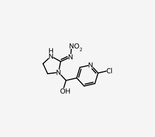 O=[N+]([O-])N=C1NCCN1C(O)c1ccc(Cl)nc1